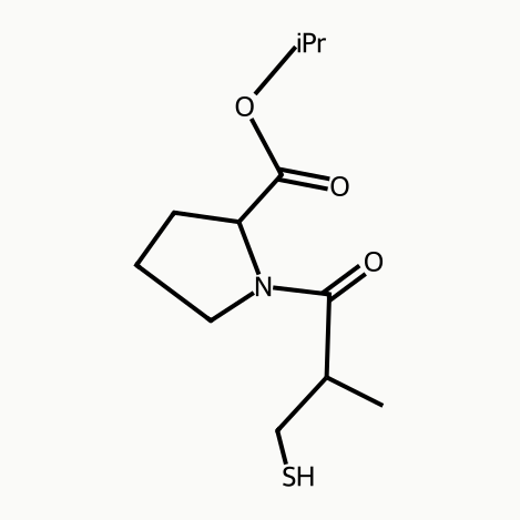 CC(C)OC(=O)C1CCCN1C(=O)C(C)CS